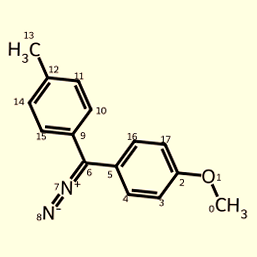 COc1ccc(C(=[N+]=[N-])c2ccc(C)cc2)cc1